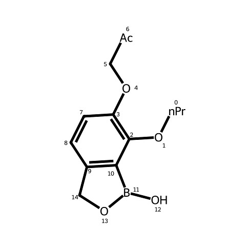 CCCOc1c(OCC(C)=O)ccc2c1B(O)OC2